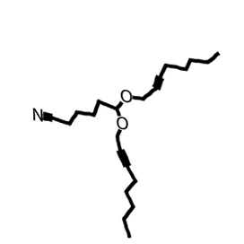 CCCCCC#CCOC(CCCCC#N)OCC#CCCCCC